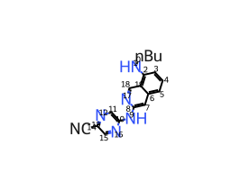 CCCCNc1cccc2cc(Nc3cnc(C#N)cn3)ncc12